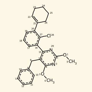 COc1nc(OC)c(Cc2ccccc2)c(-c2cccc(C3=CCCCC3)c2Cl)n1